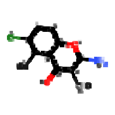 CC(C)(C)c1c(Cl)ccc2oc(N)c(C=O)c(=O)c12